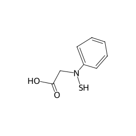 O=C(O)CN(S)c1ccccc1